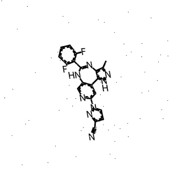 Cc1n[nH]c2c1N=C(c1c(F)cccc1F)Nc1cnc(-n3ccc(C#N)n3)cc1-2